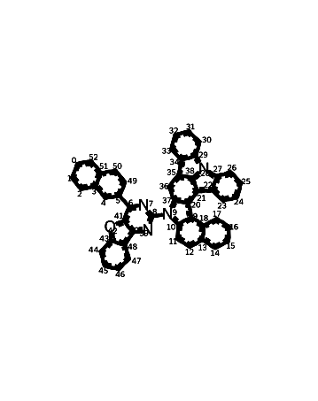 c1ccc2cc(-c3nc(-n4c5ccc6ccccc6c5c5c6c7ccccc7n7c8ccccc8c(cc54)c67)nc4c3oc3ccccc34)ccc2c1